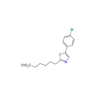 CCOC(=O)CCCCCc1ncc(-c2ccc(Br)cc2)s1